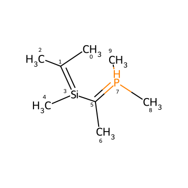 CC(C)=[Si](C)C(C)=[PH](C)C